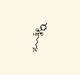 Cc1ccc(S(=O)(=O)NCCCCC[N+](C)(C)C)cc1